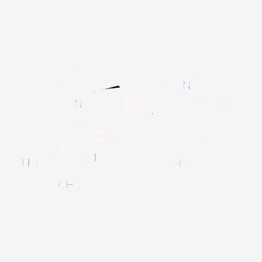 CCc1cc(OC[C@@H]2CCN2C(=O)OC(C)(C)C)cnc1Cl